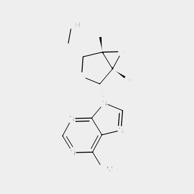 COc1ncnc2c1ncn2[C@@H]1O[C@H](CO)[C@@H]2O[C@@H]21